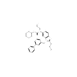 CCCCc1nc2ccc(N(CCC)C(=O)NC3CCCCC3)cc2n1Cc1cccc(-c2ccccc2)c1